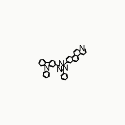 c1ccc(-c2nc(-c3ccc4c(ccc5c6cccnc6ccc45)c3)nc(-c3ccc4c5ccccc5n(-c5ccccc5)c4c3)n2)cc1